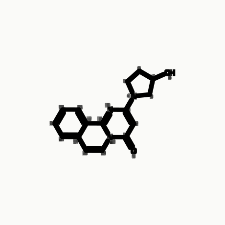 O=c1cc(N2CCC(O)C2)nc2c3ccccc3ccn12